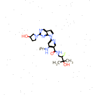 CC(C)Nc1cc(-n2ccc3cnc(N4CCC(O)C4)nc32)ncc1C(=O)NCC(F)C(C)(C)O